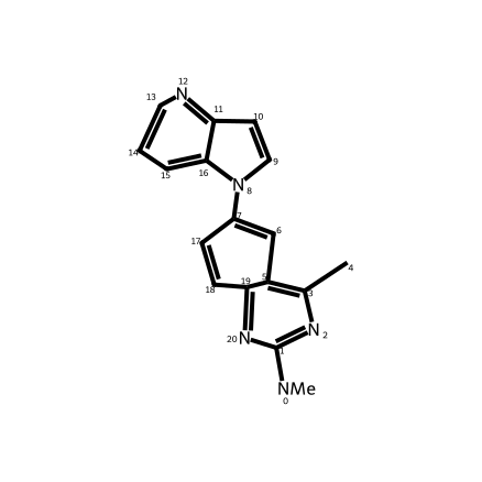 CNc1nc(C)c2cc(-n3ccc4ncccc43)ccc2n1